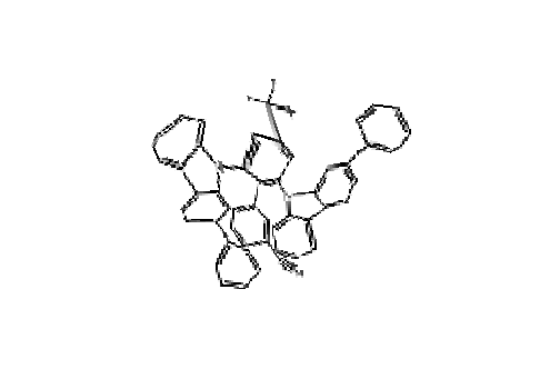 N#Cc1cccc(-c2c(-n3c4ccccc4c4ccc(-c5ccccc5)cc43)cc(C(F)(F)F)cc2-n2c3ccccc3c3ccc(-c4ccccc4)cc32)c1